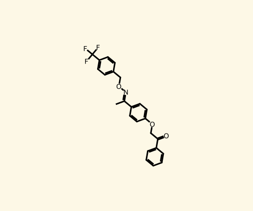 C/C(=N\OCc1ccc(C(F)(F)F)cc1)c1ccc(OCC(=O)c2ccccc2)cc1